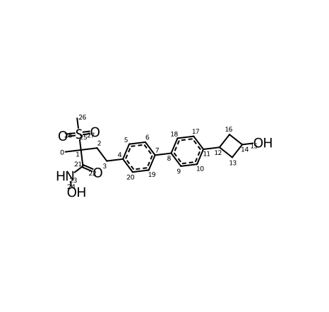 CC(CCc1ccc(-c2ccc(C3CC(O)C3)cc2)cc1)(C(=O)NO)S(C)(=O)=O